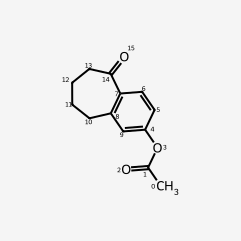 CC(=O)Oc1ccc2c(c1)CCCCC2=O